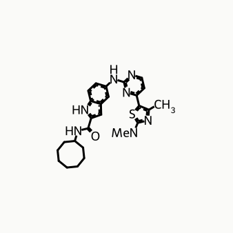 CNc1nc(C)c(-c2ccnc(Nc3ccc4[nH]c(C(=O)NC5CCCCCCC5)cc4c3)n2)s1